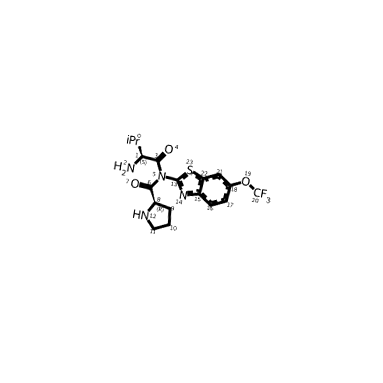 CC(C)[C@H](N)C(=O)N(C(=O)[C@H]1CCCN1)c1nc2ccc(OC(F)(F)F)cc2s1